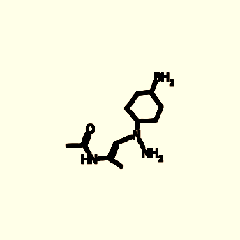 BC1CCC(N(N)/C=C(\C)NC(C)=O)CC1